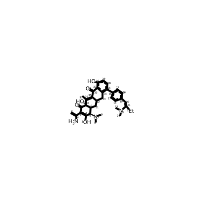 C=C(N)C1=C(O)[C@H](N(C)C)C2CC3Cc4c(-c5ccc(C=C(CC)N(C)C)cc5)ccc(O)c4C(=O)C3=C(C)[C@]2(O)C1=O